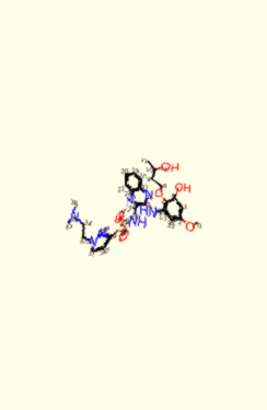 COc1cc(O)c(OCCC(C)O)c(Nc2nc3ccccc3nc2NS(=O)(=O)c2ccn(CCN(C)C)n2)c1